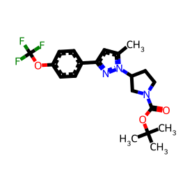 Cc1cc(-c2ccc(OC(F)(F)F)cc2)nn1C1CCN(C(=O)OC(C)(C)C)C1